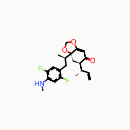 C=C[C@H](C)[C@H]1C[C@]2([C@H](C)Cc3cc(F)c(NC)cc3F)OCOC2=CC1=O